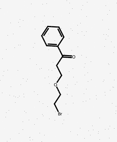 O=C(CCOCCBr)c1ccccc1